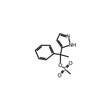 CC(OS(C)(=O)=O)(c1ccccc1)c1ccn[nH]1